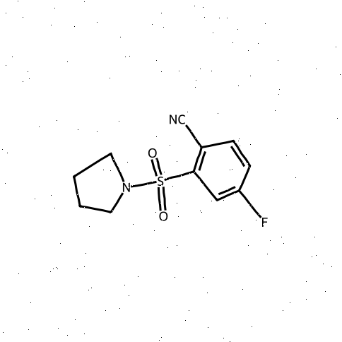 N#Cc1ccc(F)cc1S(=O)(=O)N1CCCC1